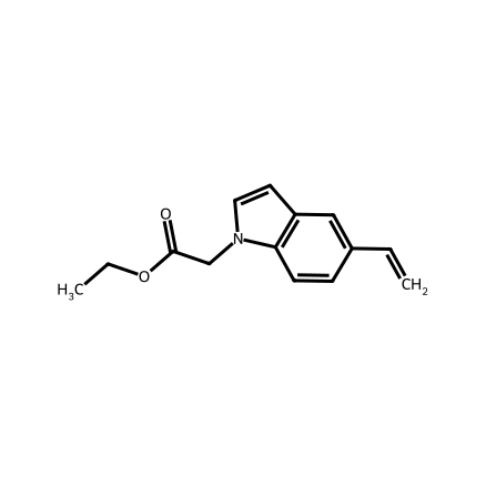 C=Cc1ccc2c(ccn2CC(=O)OCC)c1